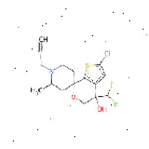 C#CCN1CCC2(CC1C)OCC(O)(C(F)F)c1cc(Cl)sc12